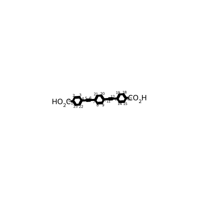 O=C(O)c1ccc(C#Cc2ccc(C#Cc3ccc(C(=O)O)cc3)cc2)cc1